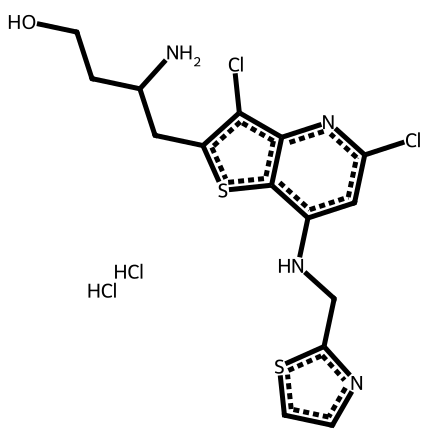 Cl.Cl.NC(CCO)Cc1sc2c(NCc3nccs3)cc(Cl)nc2c1Cl